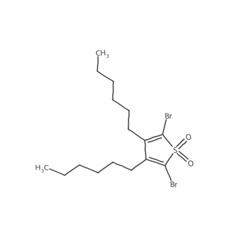 CCCCCCC1=C(Br)S(=O)(=O)C(Br)=C1CCCCCC